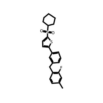 Cc1ccc(Cc2cccc(-c3ccc(S(=O)(=O)C4CCCCC4)s3)c2)c(F)c1